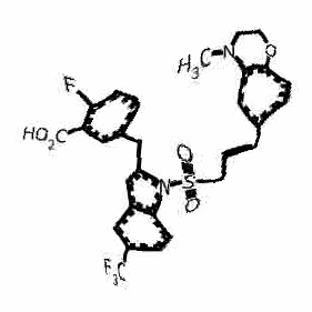 CN1CCOc2ccc(C=CCS(=O)(=O)n3c(Cc4ccc(F)c(C(=O)O)c4)cc4cc(C(F)(F)F)ccc43)cc21